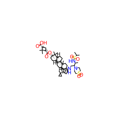 CC(NS(=O)(=O)C(C)C)C(CN[C@]12CC[C@@H](C3(C)CC3)[C@@H]1[C@H]1CC[C@@H]3[C@@]4(C)CC[C@H](OC(=O)[C@H]5C[C@@H](C(=O)O)C5(C)C)C(C)(C)[C@@H]4CC[C@@]3(C)[C@]1(C)CC2)N1CCS(=O)(=O)CC1